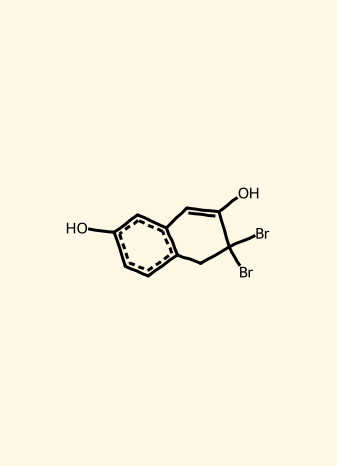 OC1=Cc2cc(O)ccc2CC1(Br)Br